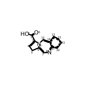 O=C(O)C1=CCC2=CN=c3ccccc3=CN21